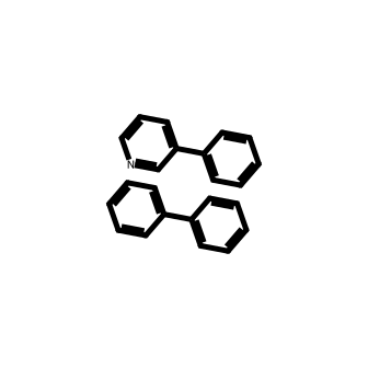 c1ccc(-c2ccccc2)cc1.c1ccc(-c2cccnc2)cc1